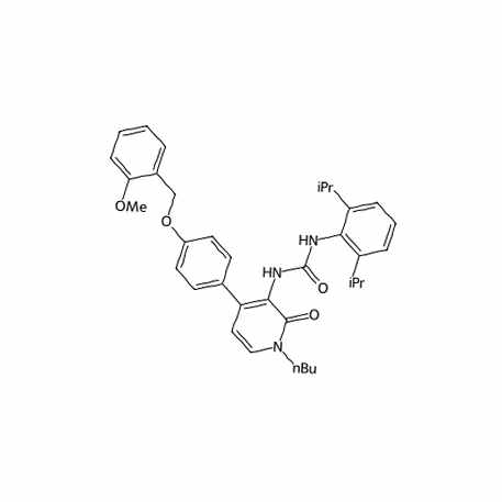 CCCCn1ccc(-c2ccc(OCc3ccccc3OC)cc2)c(NC(=O)Nc2c(C(C)C)cccc2C(C)C)c1=O